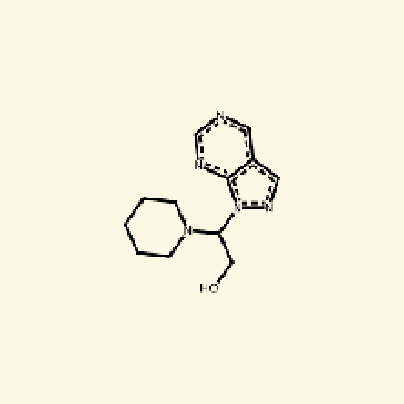 OCC(N1CCCCC1)n1ncc2cncnc21